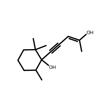 C/C(O)=C\C#CC1(O)C(C)CCCC1(C)C